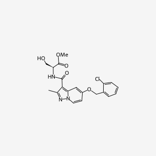 COC(=O)[C@H](CO)NC(=O)c1c(C)nn2ccc(OCc3ccccc3Cl)cc12